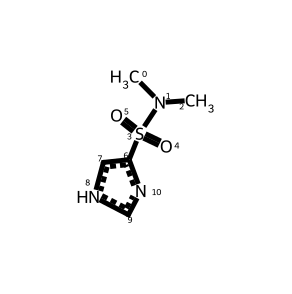 CN(C)S(=O)(=O)c1c[nH]cn1